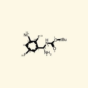 CC(C)(C)OC(=O)N[C@H](N)c1cc(F)cc(C#N)c1F